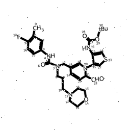 Cc1cc(NC(=O)N(CCCN2CCOCC2)CC2=CN(c3cscc3NC(=O)OC(C)(C)C)C([C]=O)C=C2)ccc1F